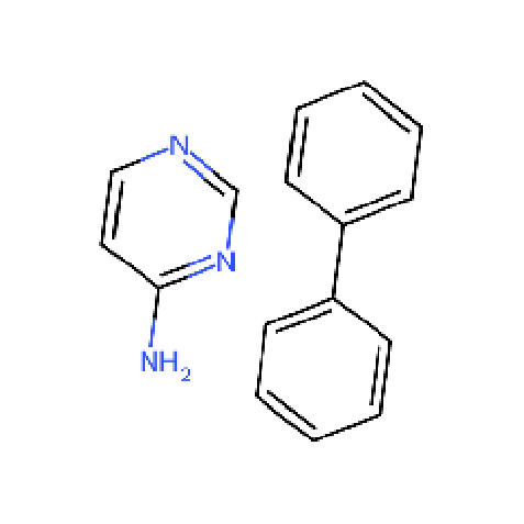 Nc1ccncn1.c1ccc(-c2ccccc2)cc1